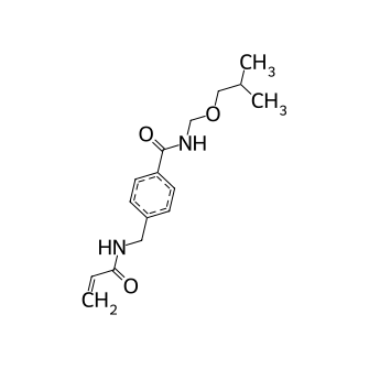 C=CC(=O)NCc1ccc(C(=O)NCOCC(C)C)cc1